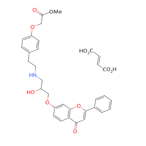 COC(=O)COc1ccc(CCNCC(O)COc2ccc3c(=O)cc(-c4ccccc4)oc3c2)cc1.O=C(O)C=CC(=O)O